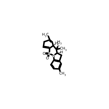 CC1=C[C@@H]2C(=CC1)S(=O)(=O)N1c3ccc(C)cc3C[C@@H]1C2(C)C